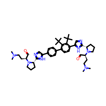 CN(C)CC[C@@H]([C]=O)N1CCC[C@H]1c1ncc(-c2ccc(-c3ccc(-c4cnc([C@@H]5CCCN5[C@H]([C]=O)CCN(C)C)[nH]4)c(C(C)(C)C)c3C(C)(C)C)cc2)[nH]1